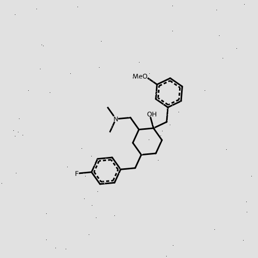 COc1cccc(CC2(O)CCC(Cc3ccc(F)cc3)CC2CN(C)C)c1